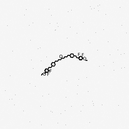 CCOc1ccc(CCC2CCC(CCCCC(=O)CCCCC3CCC(CCc4ccc(OCC)c(F)c4F)CC3)CC2)c(F)c1F